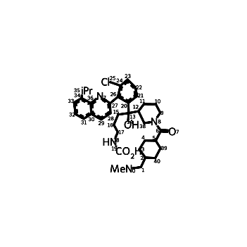 CNCC1CCC(C(=O)N2CCCC(C(O)(CCCNC(=O)O)c3cccc(Cl)c3-c3ccc4cccc(C(C)C)c4n3)C2)CC1